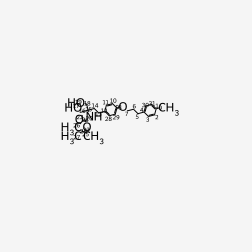 Cc1ccc(CCCOc2ccc(CCC(CO)(CO)NC(=O)OC(C)(C)C)cc2)cc1